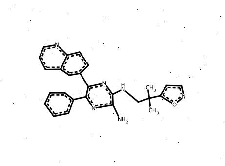 CC(C)(CNc1nc(-c2ccc3ncccc3c2)c(-c2ccccc2)nc1N)c1ccno1